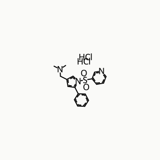 CN(C)Cc1cc(-c2ccccc2)n(S(=O)(=O)c2cccnc2)c1.Cl.Cl